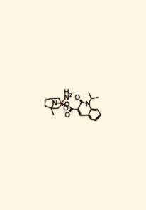 CC(C)n1c(=O)c(C(=O)OC2CC3CCC(C)(C2)N3C(N)=O)cc2ccccc21